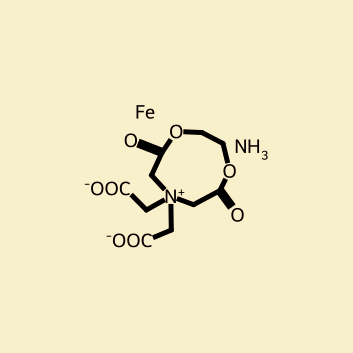 N.O=C([O-])C[N+]1(CC(=O)[O-])CC(=O)OCCOC(=O)C1.[Fe]